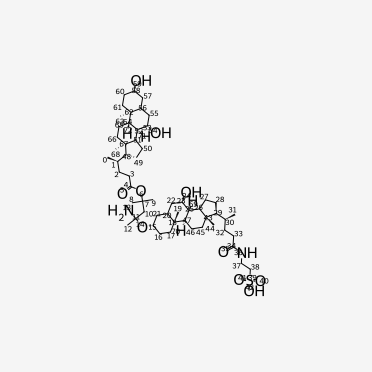 C[C@H](CCC(=O)OC(C)(C)CC(C)(N)O[C@H]1CC[C@]2(C)C(C1)C[C@@H](O)[C@@H]1C3CC[C@@H]([C@@H](C)CCC(=O)NCCS(=O)(=O)O)[C@]3(C)CC[C@H]12)[C@H]1CCC2[C@@H]3[C@@H](O)CC4C[C@H](O)CC[C@]4(C)[C@H]3CC[C@@]21C